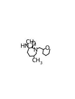 CNC1CCC(C)CN(CC2CCCCO2)C1=O